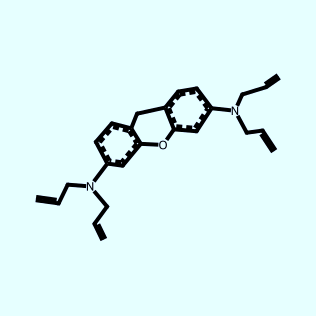 C=CCN(CC=C)c1ccc2c(c1)Oc1cc(N(CC=C)CC=C)ccc1C2